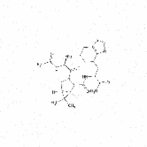 CC(C)(C)[C@H](NC(=O)C(F)(F)F)C(=O)N1C[C@H]2[C@@H]([C@H]1C(=O)NC(CC1CCCc3scnc31)C(N)=O)C2(C)C